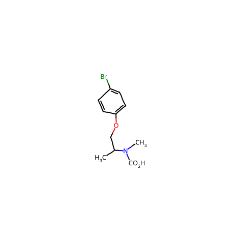 CC(COc1ccc(Br)cc1)N(C)C(=O)O